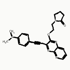 CN(C)c1ccc(C#Cc2nc3ncccc3nc2OCCN2CCCC2=O)cc1